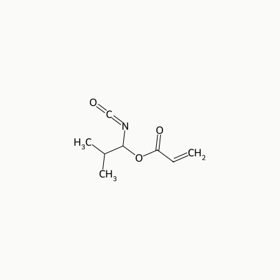 C=CC(=O)OC(N=C=O)C(C)C